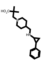 CC(C)(CN1CCC(CNC2CC2c2ccccc2)CC1)C(=O)O